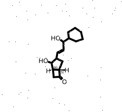 O=C1C[C@H]2C(O)C(C=CC(O)C3CCCCC3)C[C@H]12